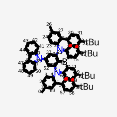 Cc1ccc(N2c3ccc(C(C)(C)C)cc3B3c4cc(C(C)(C)C)ccc4N(c4ccc(C)cc4-c4ccc(C(C)(C)C)cc4)c4cc(-n5c6ccccc6c6ccccc65)cc2c43)c(-c2ccc(C(C)(C)C)cc2)c1